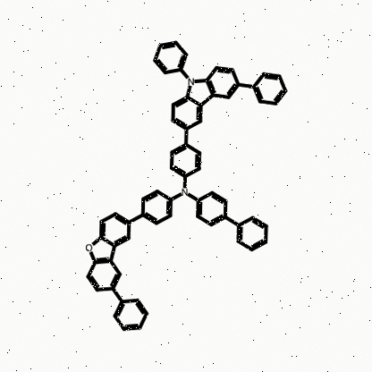 c1ccc(-c2ccc(N(c3ccc(-c4ccc5oc6ccc(-c7ccccc7)cc6c5c4)cc3)c3ccc(-c4ccc5c(c4)c4cc(-c6ccccc6)ccc4n5-c4ccccc4)cc3)cc2)cc1